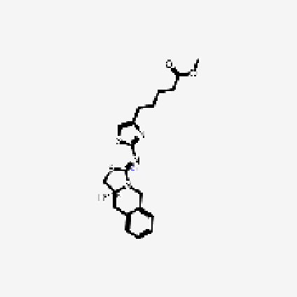 COC(=O)CCCCc1csc(/N=C2\SC[C@@H]3Cc4ccccc4CN23)n1